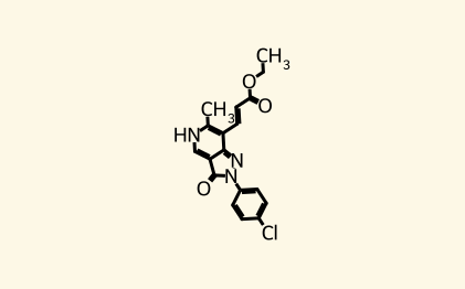 CCOC(=O)/C=C/c1c2nn(-c3ccc(Cl)cc3)c(=O)c-2c[nH]c1C